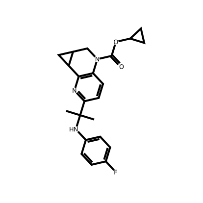 CC(C)(Nc1ccc(F)cc1)c1ccc2c(n1)C1CC1CN2C(=O)OC1CC1